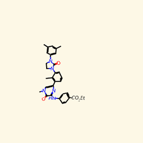 CCOC(=O)c1ccc(Nc2nc(-c3cccc(N4CCN(c5cc(C)cc(C)c5)C4=O)c3C)cn(C)c2=O)cc1